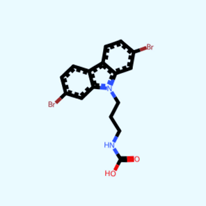 O=C(O)NCCCn1c2cc(Br)ccc2c2ccc(Br)cc21